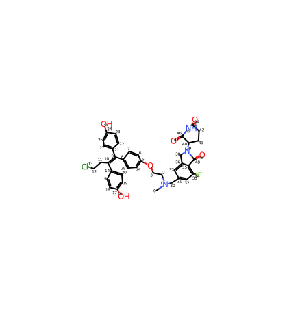 CN(CCOc1ccc(C(=C(CCCl)c2ccc(O)cc2)c2ccc(O)cc2)cc1)Cc1cc(F)c2c(c1)CN(C1CCC(=O)NC1=O)C2=O